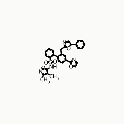 Cc1noc(NS(=O)(=O)c2ccccc2-c2ccc(-c3ncco3)cc2Cc2ncc(-c3ccccc3)o2)c1C